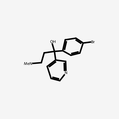 CNCCC(O)(c1ccc(Br)cc1)c1cccnc1